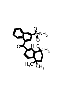 CC1(C)CCC(C)(C)c2cc(C(=O)c3cc(S(N)(=O)=O)cc4ccccc34)ccc21